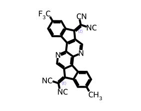 [C-]#[N+]/C(C#N)=C1/c2cc(C(F)(F)F)ccc2-c2c1cnc1c3c(cnc21)/C(=C(\C#N)[N+]#[C-])c1cc(C)ccc1-3